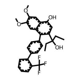 CCC(O)(CC)c1cc(O)c2cc(OC)c(OC)cc2c1-c1ccc(-c2ccccc2C(F)(F)F)cc1